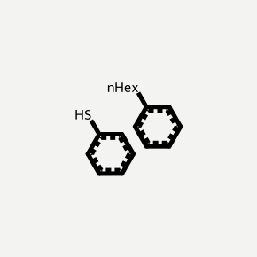 CCCCCCc1ccccc1.Sc1ccccc1